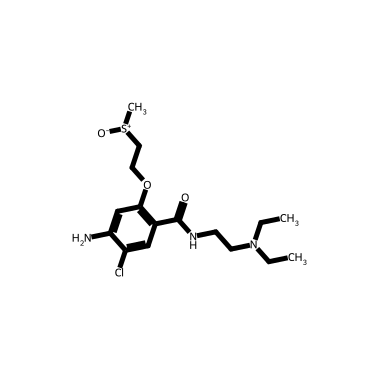 CCN(CC)CCNC(=O)c1cc(Cl)c(N)cc1OCC[S+](C)[O-]